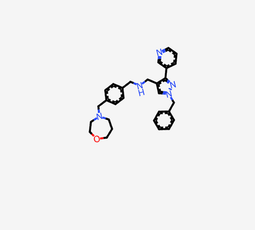 c1ccc(Cn2cc(CNCc3ccc(CN4CCCOCC4)cc3)c(-c3cccnc3)n2)cc1